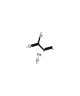 C=C[C](=O)[Zr].[Fe].[Zr]